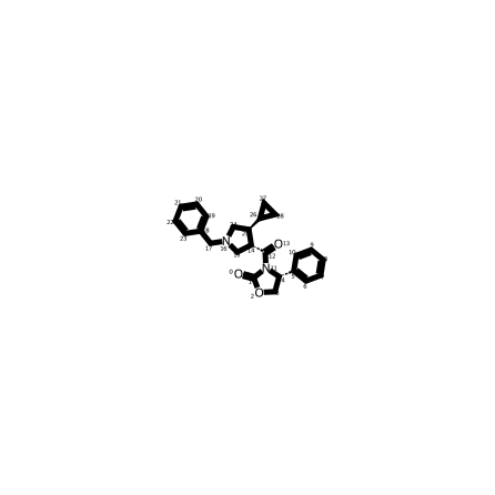 O=C1OC[C@@H](c2ccccc2)N1C(=O)[C@@H]1CN(Cc2ccccc2)C[C@H]1C1CC1